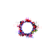 CCCC[C@H]1C(=O)N2CCOC[C@@H]2C(=O)N[C@@H](CC(=O)O)C(=O)N[C@@H](C(C)C)C(=O)N(C)[C@@H](Cc2ccccc2)C(=O)N[C@@H](CCC(=O)O)C(=O)N2CCOC[C@@H]2C(=O)N[C@@H](Cc2c[nH]c3ccccc23)C(=O)N[C@@H](Cc2ccc(O)cc2)C(=O)N[C@@H](CC(C)C)C(=O)N[C@H](C(=O)NCC(N)=O)CSCC(=O)N[C@@H](Cc2cc(F)c(F)c(F)c2)C(=O)N(C)[C@@H](Cc2ccc(O)cc2)C(=O)N1C